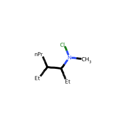 CCCC(CC)C(CC)N(C)Cl